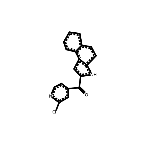 O=C(c1ccnc(Cl)c1)c1cc2c(ccc3ccccc32)[nH]1